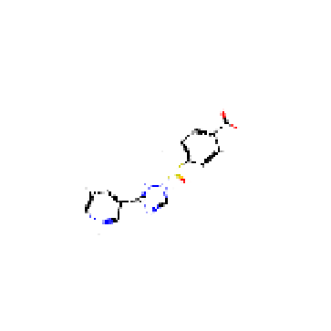 O=C(O)c1ccc(S(=O)(=O)n2cnc(-c3cccnc3)n2)cc1